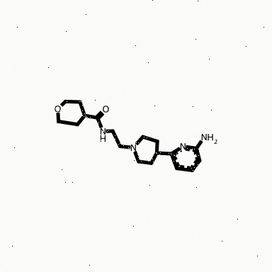 Nc1cccc(C2CCN(CCNC(=O)C3CCOCC3)CC2)n1